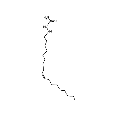 CCCCCCCC/C=C\CCCCCCCCNNC(N)=[Se]